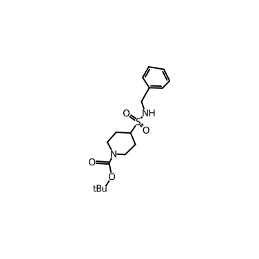 CC(C)(C)OC(=O)N1CCC(S(=O)(=O)NCc2ccccc2)CC1